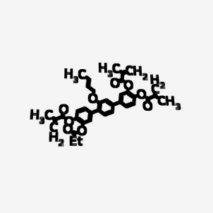 C=C(C)C(=O)Oc1ccc(-c2ccc(-c3ccc(OC(=O)C(=C)C)c(OC(=O)C(=C)C)c3)cc2OC/C=C/C)cc1OC(=O)CC